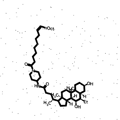 CCCCCCCC/C=C\CCCCCCCC(=O)N1CCC(NC(=O)CC[C@@H](C)C2CC[C@H]3[C@@H]4[C@H](O)[C@H](CC)[C@@H]5C[C@H](O)CC[C@]5(C)[C@H]4CC[C@]23C)CC1